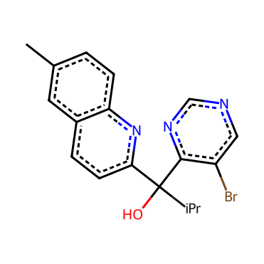 Cc1ccc2nc(C(O)(c3ncncc3Br)C(C)C)ccc2c1